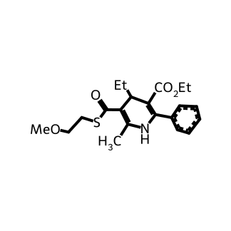 CCOC(=O)C1=C(c2ccccc2)NC(C)=C(C(=O)SCCOC)C1CC